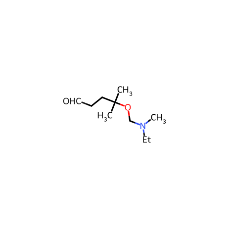 CCN(C)COC(C)(C)CCC=O